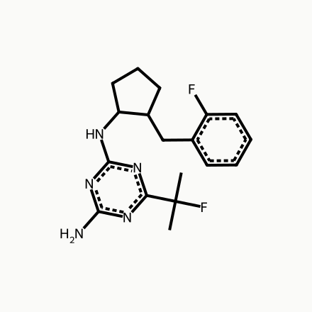 CC(C)(F)c1nc(N)nc(NC2CCCC2Cc2ccccc2F)n1